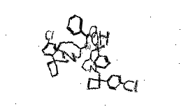 C[C@@](O)(c1ccccc1)C(C1CCCN(CC2(c3ccc(Cl)cc3)CCC2)C1)[C@@H](C(=O)c1ccccc1)C1CCCN(CC2(c3ccc(Cl)cc3)CCC2)C1